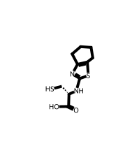 O=C(O)[C@H](CS)Nc1nc2c(s1)CCCC2